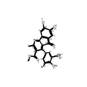 COC(=O)c1c(C)nc2c(c1-c1cc(Br)c(O)c(Br)c1)C(=O)c1cc(Cl)c(Cl)cc1-2